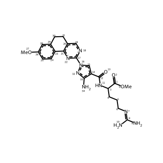 COC(=O)C(CCCN=C(N)N)NC(=O)c1cn(-c2ncc3c(n2)-c2ccc(OC)cc2CC3)nc1N